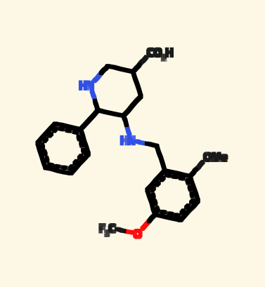 COc1ccc(OC(F)(F)F)cc1CNC1CC(C(=O)O)CNC1c1ccccc1